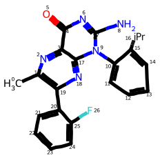 Cc1nc2c(=O)nc(N)n(-c3ccccc3C(C)C)c2nc1-c1ccccc1F